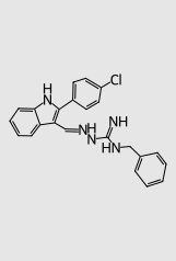 N=C(NCc1ccccc1)NN=Cc1c(-c2ccc(Cl)cc2)[nH]c2ccccc12